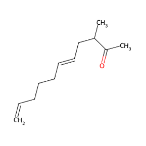 C=CCCCC=CCC(C)C(C)=O